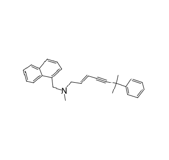 CN(C/C=C/C#CC(C)(C)c1ccccc1)Cc1cccc2ccccc12